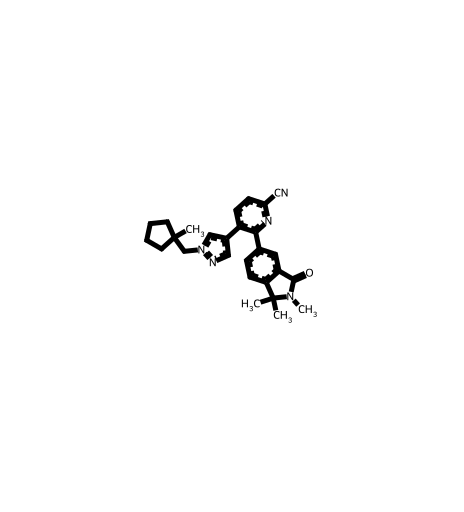 CN1C(=O)c2cc(-c3nc(C#N)ccc3-c3cnn(CC4(C)CCCC4)c3)ccc2C1(C)C